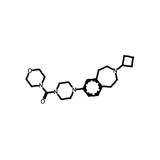 O=C(N1CCOCC1)N1CCN(c2ccc3c(c2)CCN(C2CCC2)CC3)CC1